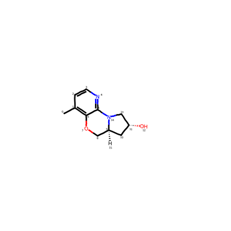 Cc1ccnc2c1OC[C@@H]1C[C@@H](O)CN21